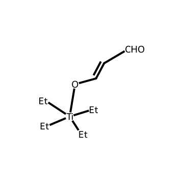 C[CH2][Ti]([CH2]C)([CH2]C)([CH2]C)[O]C=CC=O